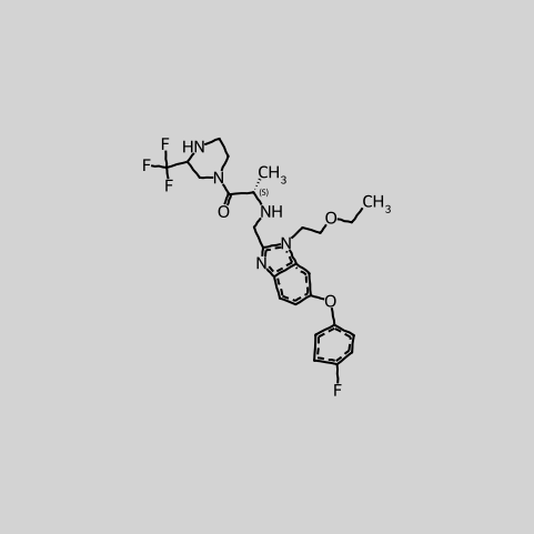 CCOCCn1c(CN[C@@H](C)C(=O)N2CCNC(C(F)(F)F)C2)nc2ccc(Oc3ccc(F)cc3)cc21